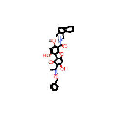 COc1cc(O)c2c(c1C(=O)NCc1c(C)ccc3ccccc13)OC1=CC(O)=C(/C(C)=N/OCc3ccccc3)C(=O)[C@]12C